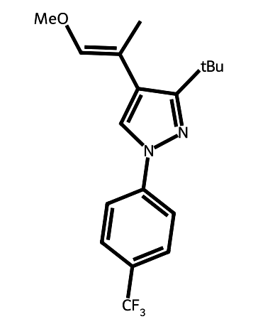 COC=C(C)c1cn(-c2ccc(C(F)(F)F)cc2)nc1C(C)(C)C